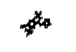 N#Cc1ccc(N(Cc2ncco2)CC(F)(F)F)cc1C(F)(F)F